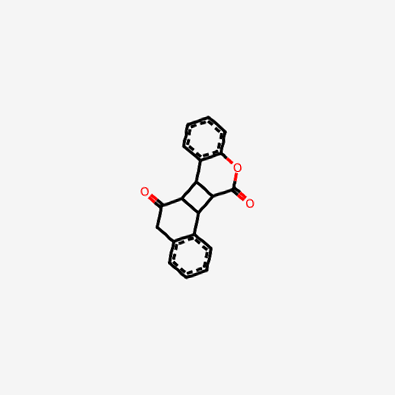 O=C1Cc2ccccc2C2C1C1c3ccccc3OC(=O)C21